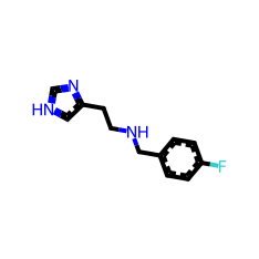 Fc1ccc(CNCCc2c[nH]cn2)cc1